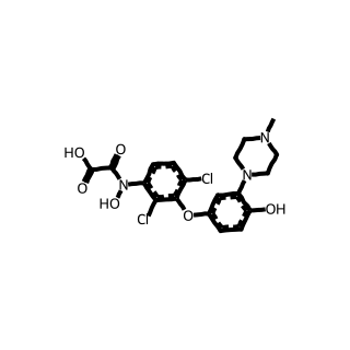 CN1CCN(c2cc(Oc3c(Cl)ccc(N(O)C(=O)C(=O)O)c3Cl)ccc2O)CC1